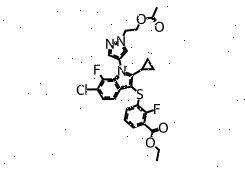 CCOC(=O)c1cccc(Sc2c(C3CC3)n(-c3cnn(CCOC(C)=O)c3)c3c(F)c(Cl)ccc23)c1F